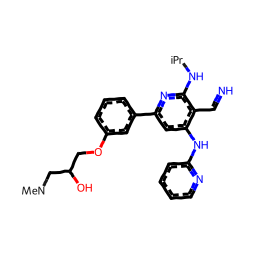 CNCC(O)COc1cccc(-c2cc(Nc3ccccn3)c(C=N)c(NC(C)C)n2)c1